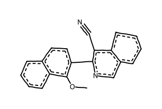 COc1c(-c2ncc3ccccc3c2C#N)ccc2ccccc12